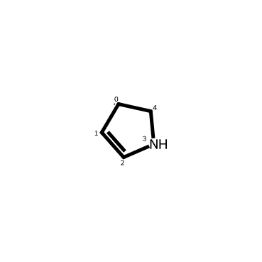 [CH]1C=CNC1